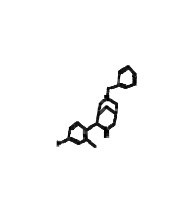 Cc1cc(F)ccc1C1NCC2CC1CN(Cc1ccccc1)C2